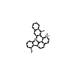 Cc1c2ccccc2cc2c1c1c3c(ccc4c5c(F)cccc5n2c43)cc[n+]1C